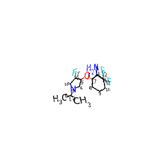 CC(C)N1C[C@H](O[C@H]2CCCC(F)(F)[C@@H]2N)[C@@H](F)C1